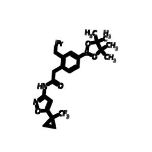 CC(C)Cc1cc(B2OC(C)(C)C(C)(C)O2)ccc1CC(=O)Nc1cc(C2(C(F)(F)F)CC2)on1